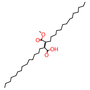 CCCCCCCCCCCCCCC(C(=O)O)=C(CCCCCCCCCCCCCC)C(=O)OC